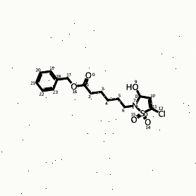 O=C(CCCCCN1C(O)C=C(Cl)S1(=O)=O)OCc1ccccc1